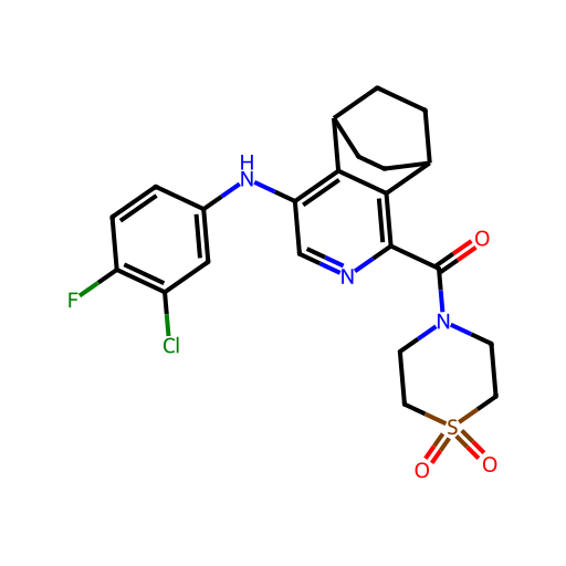 O=C(c1ncc(Nc2ccc(F)c(Cl)c2)c2c1C1CCC2CC1)N1CCS(=O)(=O)CC1